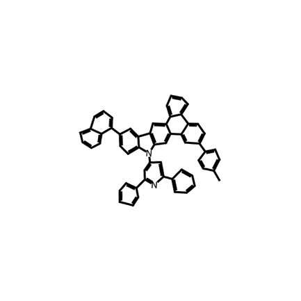 Cc1ccc(-c2ccc3c4ccccc4c4cc5c6cc(-c7cccc8ccccc78)ccc6n(-c6cc(-c7ccccc7)nc(-c7ccccc7)c6)c5cc4c3c2)cc1